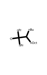 CCCCCCCCC(CCCC)C([O])(CCC)CCC